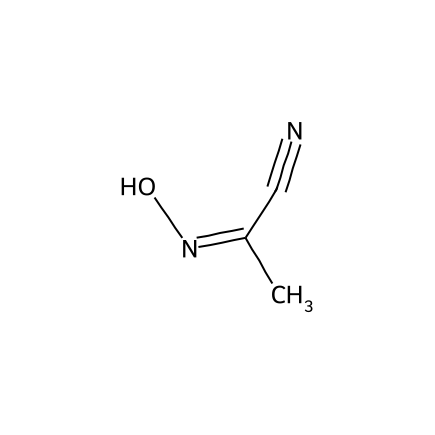 CC(C#N)=NO